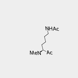 CN[C@@H](CCCCNC(C)=O)C(C)=O